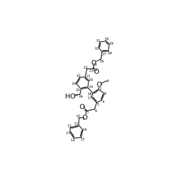 COc1ccc(CC(=O)OCc2ccccc2)cc1-c1cc(CC(=O)OCc2ccccc2)ccc1CO